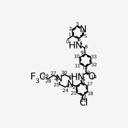 Cc1ccncc1NCc1ccc(C(=O)Nc2ccc(Cl)cc2N2CCN(CCC(F)(F)F)CC2)cc1